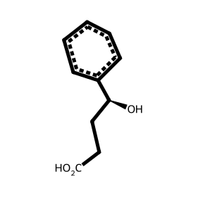 O=C(O)CC[C@H](O)c1ccccc1